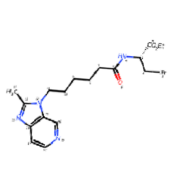 CCOC(=O)[C@H](CC(C)C)NC(=O)CCCCCn1c(C)nc2ccncc21